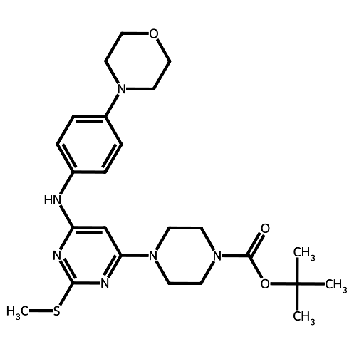 CSc1nc(Nc2ccc(N3CCOCC3)cc2)cc(N2CCN(C(=O)OC(C)(C)C)CC2)n1